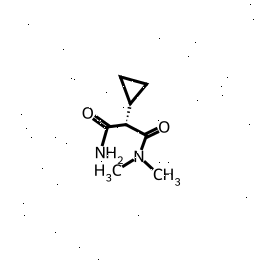 CN(C)C(=O)[C@H](C(N)=O)C1CC1